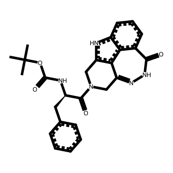 CC(C)(C)OC(=O)N[C@H](Cc1ccccc1)C(=O)N1CC2=NNC(=O)c3cccc4[nH]c(c2c34)C1